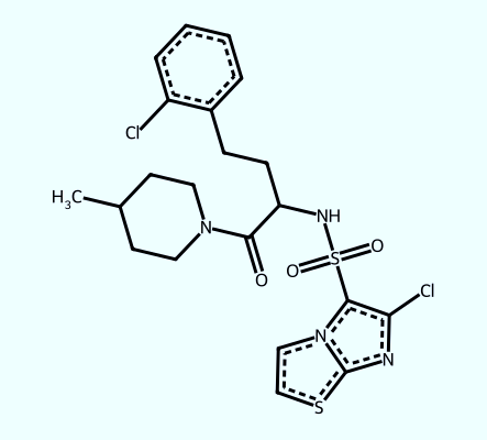 CC1CCN(C(=O)C(CCc2ccccc2Cl)NS(=O)(=O)c2c(Cl)nc3sccn23)CC1